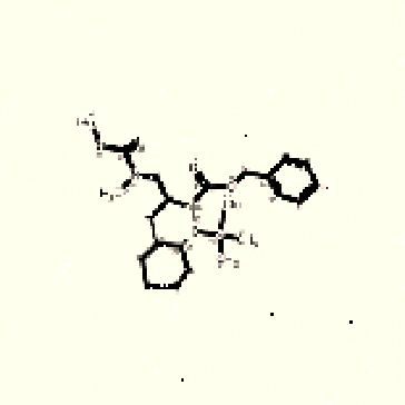 CN(CC(C[C@@H]1CCCC[C@H]1O[Si](C)(C)C(C)(C)C)NC(=O)OCc1ccccc1)C(=O)OC(C)(C)C